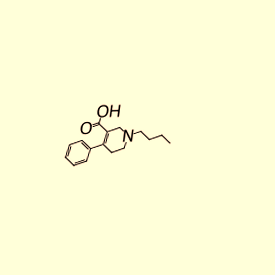 CCCCN1CCC(c2ccccc2)=C(C(=O)O)C1